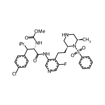 COC(=O)N[C@H](C(=O)Nc1cncc(F)c1CC[C@H]1CNC[C@@H](C)N1S(=O)(=O)c1ccccc1)C(c1ccc(Cl)cc1)C(C)C